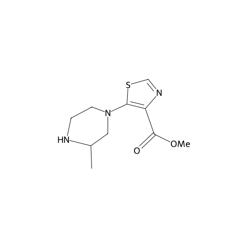 COC(=O)c1ncsc1N1CCNC(C)C1